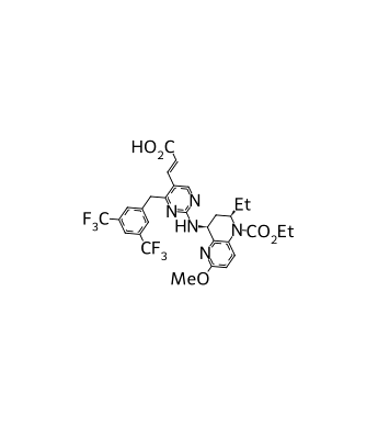 CCOC(=O)N1c2ccc(OC)nc2[C@@H](Nc2ncc(C=CC(=O)O)c(Cc3cc(C(F)(F)F)cc(C(F)(F)F)c3)n2)C[C@H]1CC